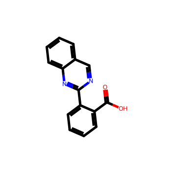 O=C(O)c1ccccc1-c1ncc2ccccc2n1